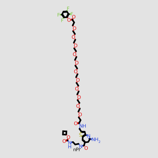 CCCN(CCCNC(=O)OC1CCC1)C(=O)C1=Cc2sc(CNC(=O)CCOCCOCCOCCOCCOCCOCCOCCOCCOCCOCCOCCC(=O)Oc3c(F)c(F)cc(F)c3F)cc2N=C(N)C1